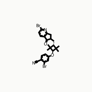 CC1(C)[C@H](CC2Cc3nc(Br)ccc3C2=O)C(C)(C)[C@H]1Oc1ccc(C#N)c(Br)c1